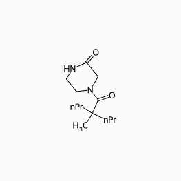 CCCC(C)(CCC)C(=O)N1CCNC(=O)C1